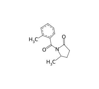 Cc1ccccc1C(=O)N1C(=O)CCC1C